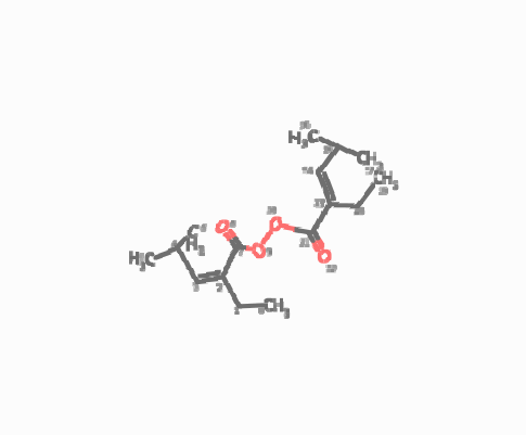 CCC(=CC(C)C)C(=O)OOC(=O)C(=CC(C)C)CC